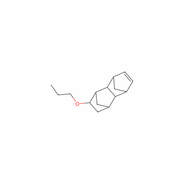 CCCOC1CC2CC1C1C3C=CC(C3)C21